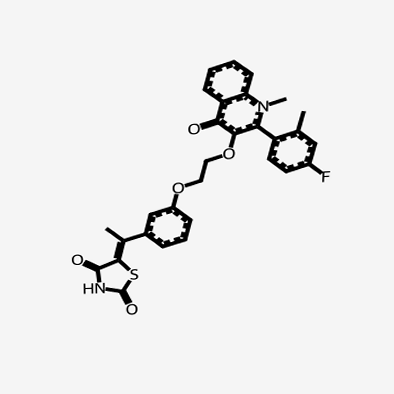 CC(=C1SC(=O)NC1=O)c1cccc(OCCOc2c(-c3ccc(F)cc3C)n(C)c3ccccc3c2=O)c1